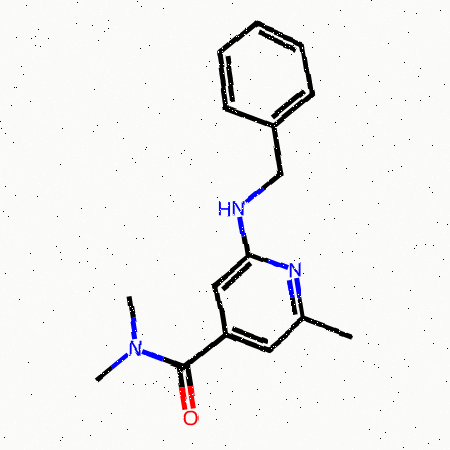 Cc1cc(C(=O)N(C)C)cc(NCc2ccccc2)n1